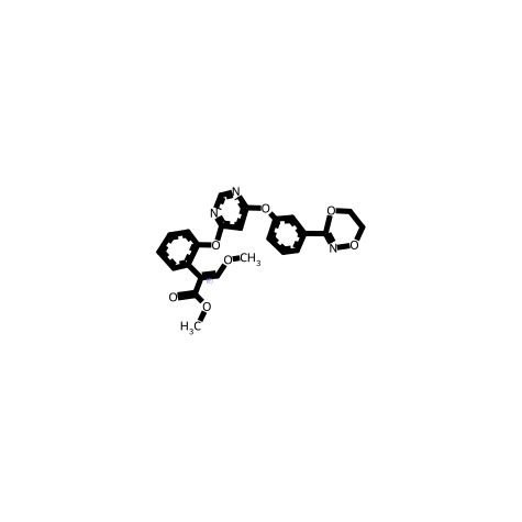 CO/C=C(/C(=O)OC)c1ccccc1Oc1cc(Oc2cccc(C3=NOCCO3)c2)ncn1